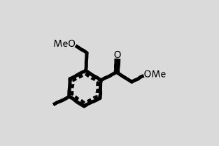 COCC(=O)c1ccc(C)cc1COC